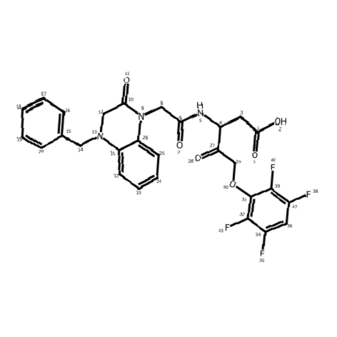 O=C(O)CC(NC(=O)CN1C(=O)CN(Cc2ccccc2)c2ccccc21)C(=O)COc1c(F)c(F)cc(F)c1F